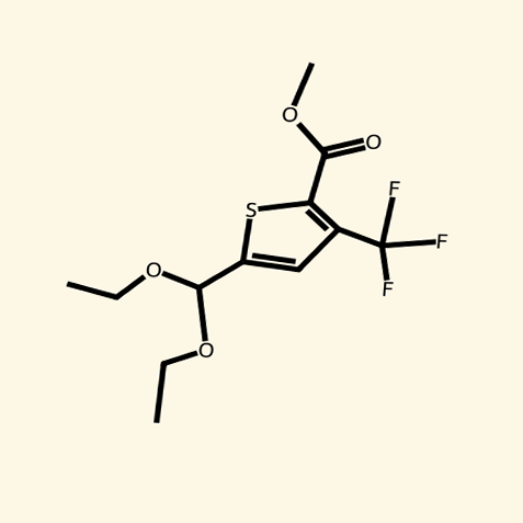 CCOC(OCC)c1cc(C(F)(F)F)c(C(=O)OC)s1